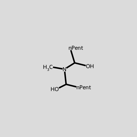 CCCCCC(O)N(C)C(O)CCCCC